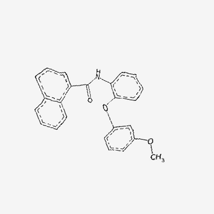 COc1cccc(Oc2ccccc2NC(=O)c2cccc3ccccc23)c1